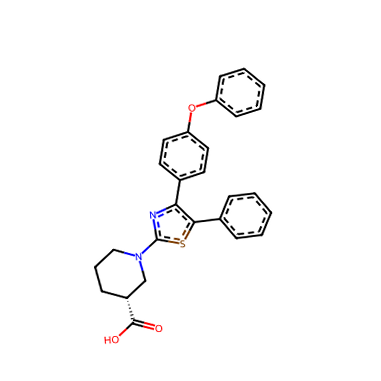 O=C(O)[C@@H]1CCCN(c2nc(-c3ccc(Oc4ccccc4)cc3)c(-c3ccccc3)s2)C1